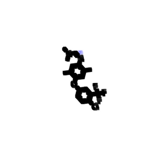 Cc1cc(Oc2ccc(Cl)c(C(F)(F)F)c2)c(C)cc1/N=C\N(C)C